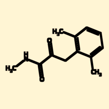 CNC(=O)C(=O)Cc1c(C)cccc1C